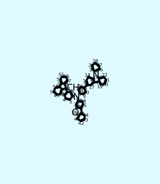 CC1(c2cccc(N(c3ccc(-c4ccc5c(c4)c4ccccc4n5-c4ccccc4)cc3)c3ccc4c(c3)oc3ccccc34)c2)c2ccccc2-c2ccccc21